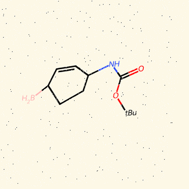 BC1C=CC(NC(=O)OC(C)(C)C)CC1